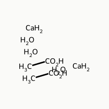 CC(=O)O.CC(=O)O.O.O.O.[CaH2].[CaH2]